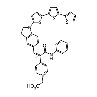 O=C(O)C[n+]1ccc(/C(=C/c2ccc3c(c2)CCN3c2ccc(-c3ccc(-c4cccs4)s3)s2)C(=O)Nc2ccccc2)cc1